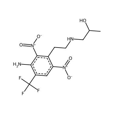 CC(O)CNCCc1c([N+](=O)[O-])cc(C(F)(F)F)c(N)c1[N+](=O)[O-]